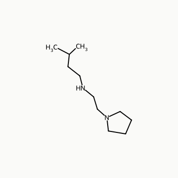 CC(C)CCNCCN1CCCC1